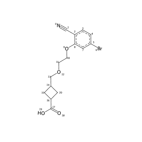 N#Cc1ccc(Br)cc1OCCOCC1CC(C(=O)O)C1